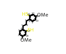 COc1ccc(CCCc2ccc(OC)cc2S)c(S)c1